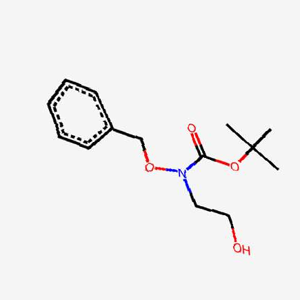 CC(C)(C)OC(=O)N(CCO)OCc1ccccc1